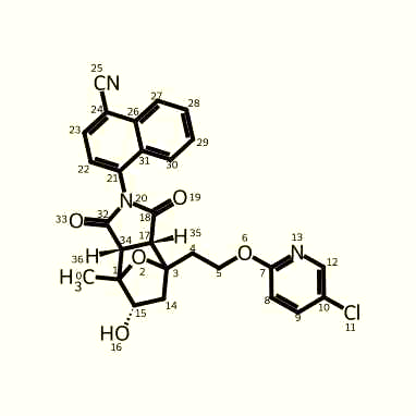 CC12OC(CCOc3ccc(Cl)cn3)(C[C@@H]1O)[C@H]1C(=O)N(c3ccc(C#N)c4ccccc34)C(=O)[C@H]12